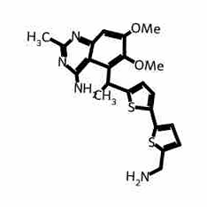 COc1cc2nc(C)nc(N)c2c(C(C)c2ccc(-c3ccc(CN)s3)s2)c1OC